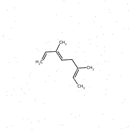 C=CC(C)=CCC(C)=CC